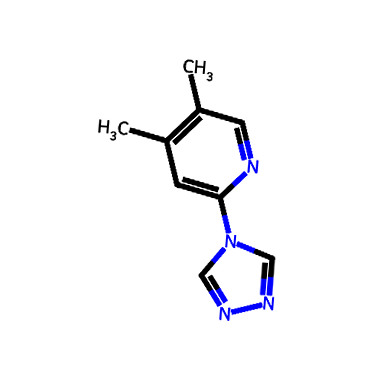 Cc1cnc(-n2cnnc2)cc1C